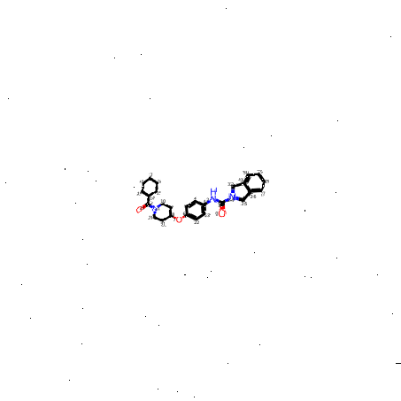 O=C(Nc1ccc(OC2CCN(C(=O)C3CCCCC3)CC2)cc1)N1Cc2ccccc2C1